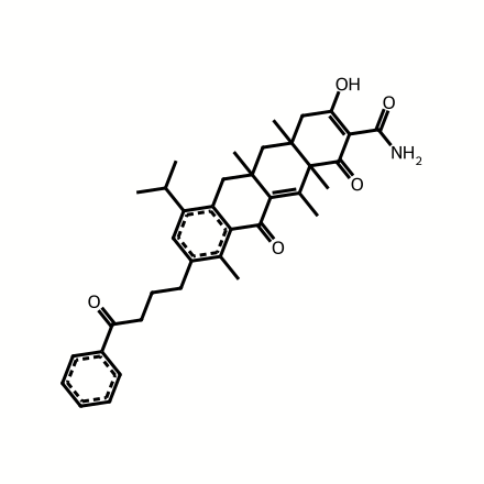 CC1=C2C(=O)c3c(C)c(CCCC(=O)c4ccccc4)cc(C(C)C)c3CC2(C)CC2(C)CC(O)=C(C(N)=O)C(=O)C12C